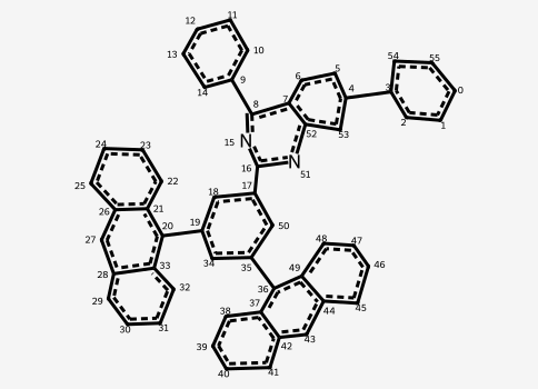 c1ccc(-c2ccc3c(-c4ccccc4)nc(-c4cc(-c5c6ccccc6cc6ccccc56)cc(-c5c6ccccc6cc6ccccc56)c4)nc3c2)cc1